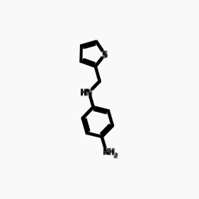 Nc1ccc(NCc2cccs2)cc1